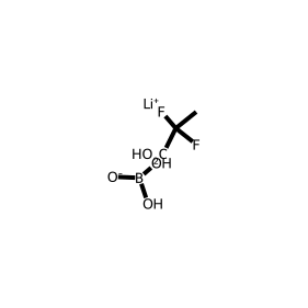 CC(F)(F)C(=O)O.[Li+].[O-]B(O)O